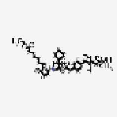 CCOC(=O)CCCCCCN1C(=O)CC[C@@H]1/C=C/[C@@H](OC(=O)Cc1ccc(C(=O)NCCC(C)(C)O)cc1)C(F)(F)c1ccccc1